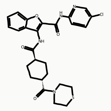 O=C(Nc1ccc(Cl)cn1)c1oc2ccccc2c1NC(=O)[C@H]1CC[C@H](C(=O)N2CCSCC2)CC1